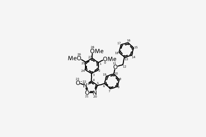 COc1cc(-c2c(-c3cccc(OCc4ccccc4)c3)no[n+]2[O-])cc(OC)c1OC